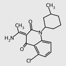 CC(N)=C1C(=O)c2c(Cl)cccc2N(C2CCCC(C)C2)C1=O